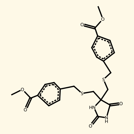 COC(=O)c1ccc(CSCC2(CSCc3ccc(C(=O)OC)cc3)NC(=O)NC2=O)cc1